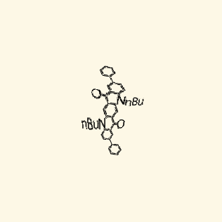 CCCCn1c2ccc(-c3ccccc3)cc2c(=O)c2cc3c(cc21)c(=O)c1cc(-c2ccccc2)ccc1n3CCCC